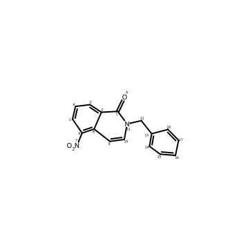 O=c1c2cccc([N+](=O)[O-])c2ccn1Cc1ccccc1